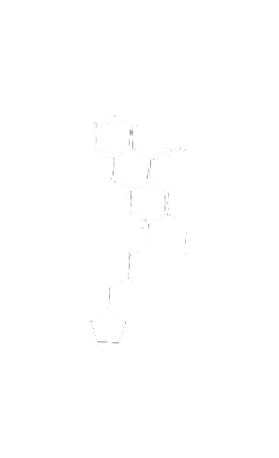 CCOc1cc2c(NC)c3ccccc3nc2cc1OCCCN1CCCC1